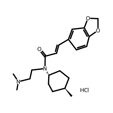 CN(C)CCN(C(=O)/C=C/c1ccc2c(c1)OCO2)[C@H]1CC[C@H](C)CC1.Cl